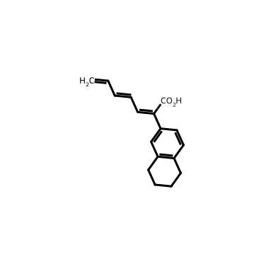 C=CC=CC=C(C(=O)O)c1ccc2c(c1)CCCC2